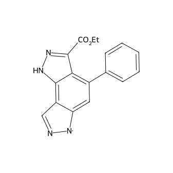 CCOC(=O)c1n[nH]c2c3c(cc(-c4ccccc4)c12)[N]N=C3